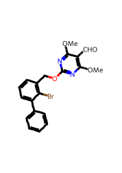 COc1nc(OCc2cccc(-c3ccccc3)c2Br)nc(OC)c1C=O